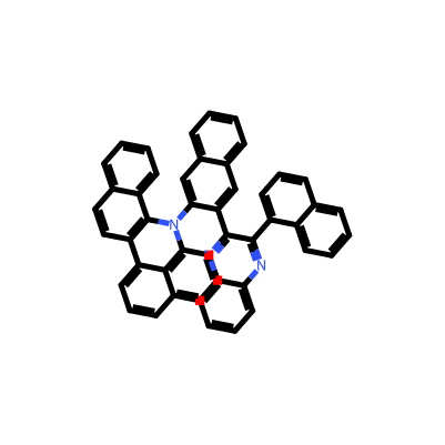 c1ccc2cc(N3c4c(ccc5ccccc45)-c4cccc5cccc3c45)c(-c3nc4ccccc4nc3-c3cccc4ccccc34)cc2c1